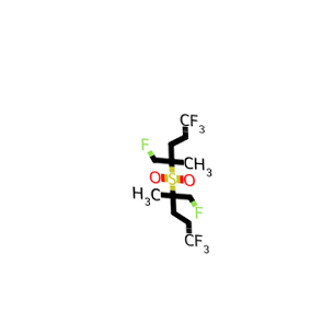 CC(CF)(CCC(F)(F)F)S(=O)(=O)C(C)(CF)CCC(F)(F)F